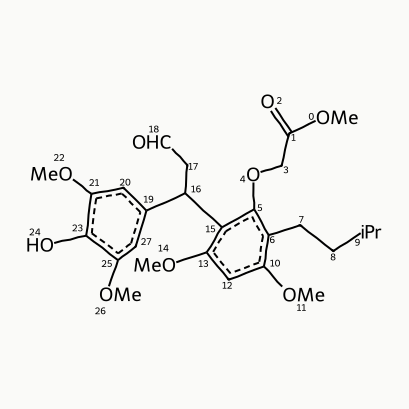 COC(=O)COc1c(CCC(C)C)c(OC)cc(OC)c1C(CC=O)c1cc(OC)c(O)c(OC)c1